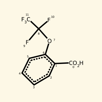 O=C(O)c1ccccc1OC(F)(F)C(F)(F)F